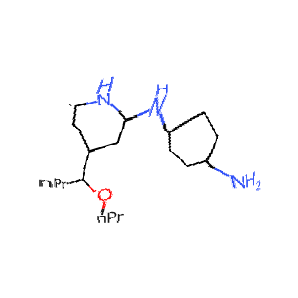 CCCOC(CCC)C1C[CH]NC(NC2CCC(N)CC2)C1